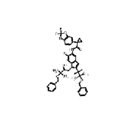 BC(B)(OCc1ccccc1)C(O)Cn1c(C(C)(C)C(B)(B)OCc2ccccc2)cc2cc(NC(=O)C3(c4ccc5c(c4)OC(F)(F)O5)CC3)c(F)cc21